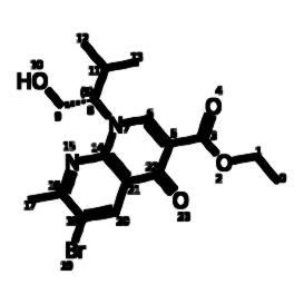 CCOC(=O)c1cn([C@H](CO)C(C)C)c2nc(C)c(Br)cc2c1=O